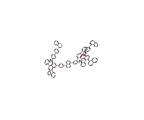 C1=C(c2ccc(-c3ccc(N(c4cccc(-c5ccc(-c6cccc7c(-c8ccc(N(c9ccc(-c%10ccc(-c%11cccc%12ccccc%11%12)cc%10)cc9)c9ccccc9-c9ccccc9-c9cccc%10ccccc9%10)c(-c9ccc%10c(c9)oc9ccccc9%10)c8)cccc67)cc5)c4)c4ccccc4-c4ccc5c(c4)oc4ccccc45)cc3)cc2)c2ccccc2CC1